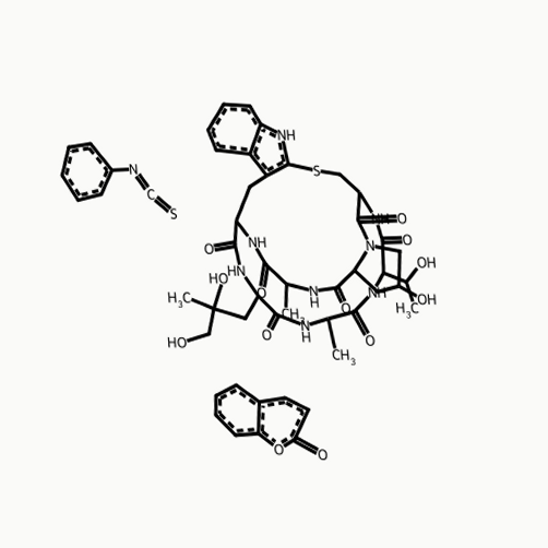 CC1NC(=O)C(CC(C)(O)CO)NC(=O)C2Cc3c([nH]c4ccccc34)SCC(NC(=O)C(C(C)O)NC1=O)C(=O)N1CC(O)CC1C(=O)NC(C)C(=O)N2.O=c1ccc2ccccc2o1.S=C=Nc1ccccc1